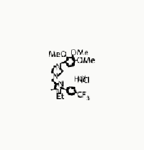 CCn1c(-c2ccc(C(F)(F)F)cc2)nc(CN2CCN(Cc3ccc(OC)c(OC)c3OC)CC2)c1C.Cl.Cl